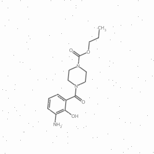 CCCOC(=O)N1CCN(C(=O)c2cccc(N)c2O)CC1